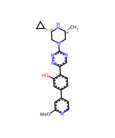 COc1cc(-c2ccc(-c3cnc(N4C[C@@H](C)N[C@@H](C5CC5)C4)nn3)c(O)c2)ccn1